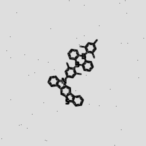 Cc1cc(C)c(B2c3ccccc3B(c3c(C)cc(-n4c5ccccc5c5cc6sc7ccccc7c6cc54)cc3C)c3ccccc32)c(C)c1